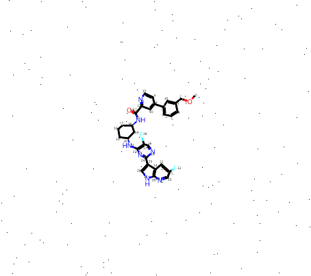 COCc1cccc(-c2ccnc(C(=O)N[C@@H]3CCC[C@H](Nc4nc(-c5c[nH]c6ncc(F)cc56)ncc4F)C3)c2)c1